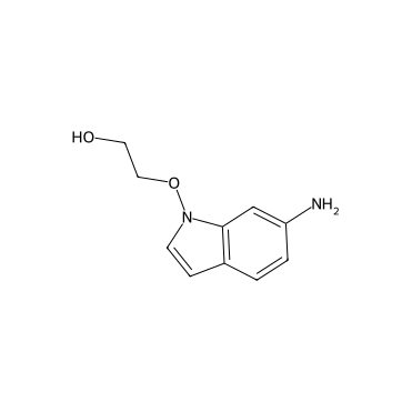 Nc1ccc2ccn(OCCO)c2c1